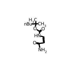 CCCCC(C)(C)OC(=O)N/C=C\C(N)=O